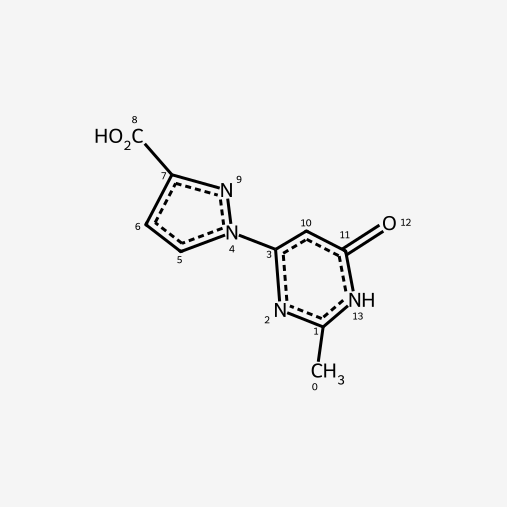 Cc1nc(-n2ccc(C(=O)O)n2)cc(=O)[nH]1